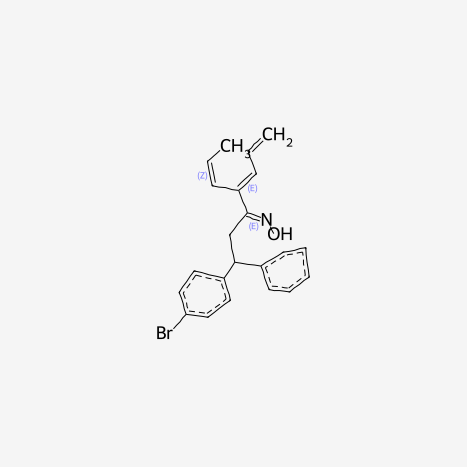 C=C/C=C(\C=C/C)C(/CC(c1ccccc1)c1ccc(Br)cc1)=N/O